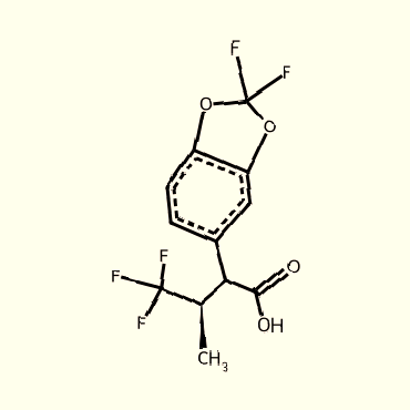 C[C@H](C(C(=O)O)c1ccc2c(c1)OC(F)(F)O2)C(F)(F)F